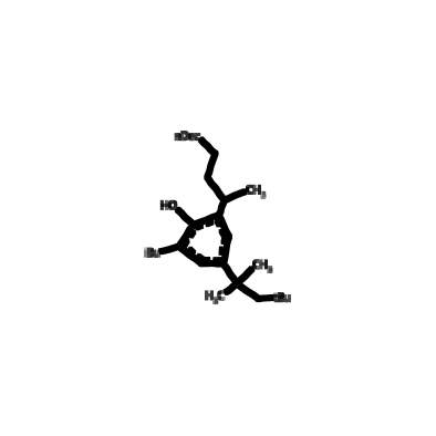 CCCCCCCCCCCCC(C)c1cc(C(C)(C)CC(C)(C)C)cc(C(C)CC)c1O